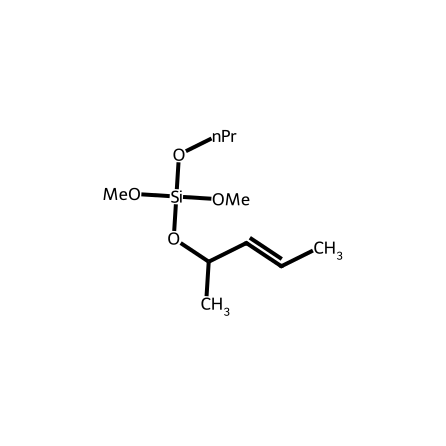 CC=CC(C)O[Si](OC)(OC)OCCC